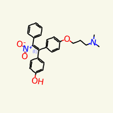 CN(C)CCCOc1ccc(/C(=C(\c2ccccc2)[N+](=O)[O-])c2ccc(O)cc2)cc1